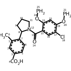 Cc1cc(C(=O)O)ccc1C1CCCN1C(=O)c1cc(Cl)c(OP)cc1OP